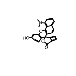 CN(C)c1cccc2ccc3c(c12)Oc1cc(O)ccc1C31OC(=O)c2ccccc21